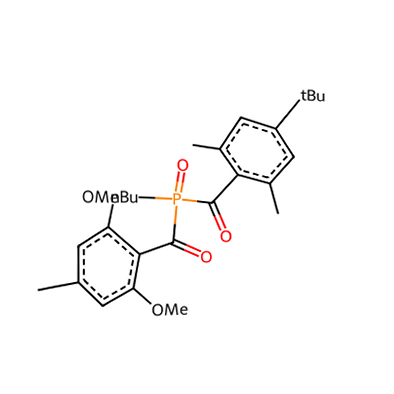 CCCCP(=O)(C(=O)c1c(C)cc(C(C)(C)C)cc1C)C(=O)c1c(OC)cc(C)cc1OC